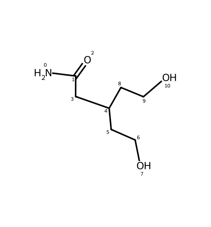 NC(=O)CC(CCO)CCO